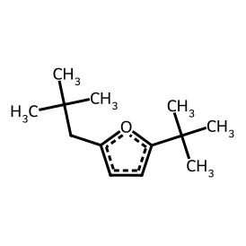 CC(C)(C)Cc1ccc(C(C)(C)C)o1